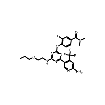 CCCOCCNc1nc(Oc2ccc(C(=O)N(C)C)cc2F)nc(-c2cnc(N)cc2C(F)(F)F)n1